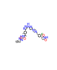 Cc1cc(-c2cc(Nc3ccc(N4CCN(CCc5ccc(C6CCC(=O)NC6=O)c(F)c5)CC4)cn3)ncn2)ccc1[C@@H](C)NC(=O)c1nc(C(C)(C)C)no1